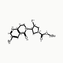 CC(C)(C)OC(=O)N1CC(F)C(N2CCc3ncc(Br)cc3C2=O)C1